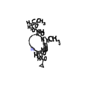 C[C@@H]1C[C@H]2C(=O)N[C@]3(C(=O)NC(=O)C4CC4)C[C@H]3/C=C\CCCCC[C@H](NC(=O)OC(C)(C)C)C(=O)N2C1